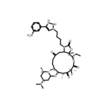 CC[C@H]1OC(=O)[C@@](C)(F)C(=O)[C@H](C)[C@@H](OC2C[C@@H](N(C)C)C[C@@H](C)O2)[C@@H](C)CCC(=O)CC2N(CCCCN3C=C(c4cccc(N)c4)NN3)C(=O)O[C@@]21C